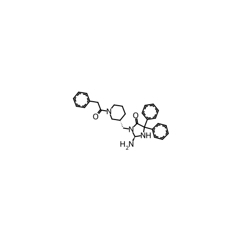 N[C@@H]1NC(c2ccccc2)(c2ccccc2)C(=O)N1C[C@H]1CCCN(C(=O)Cc2ccccc2)C1